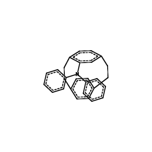 c1ccc(N(c2ccccc2)c2cc3ccc2CCc2ccc(cc2)CC3)cc1